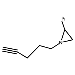 C#CCCCN1CC1C(C)C